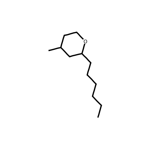 CCCCCCC1CC(C)CCO1